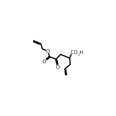 C=CCOC(=O)C(=O)CC(CC=C)C(=O)O